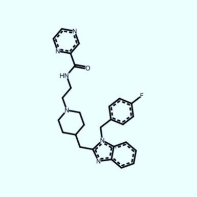 O=C(NCCN1CCC(Cc2nc3ccccc3n2Cc2ccc(F)cc2)CC1)c1cnccn1